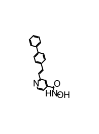 O=C(NO)c1ccnc(C=Cc2ccc(-c3ccccc3)cc2)c1